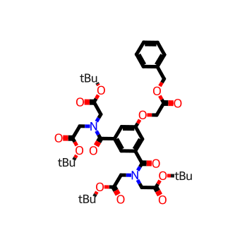 CC(C)(C)OC(=O)CN(CC(=O)OC(C)(C)C)C(=O)c1cc(OCC(=O)OCc2ccccc2)cc(C(=O)N(CC(=O)OC(C)(C)C)CC(=O)OC(C)(C)C)c1